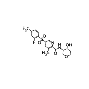 Nc1cc(S(=O)(=O)c2ccc(C(F)(F)F)cc2F)cnc1C(=O)N[C@@H]1COCC[C@@H]1O